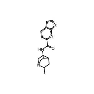 CC1CC2CCN1CC2NC(=O)c1ccc2ccsc2n1